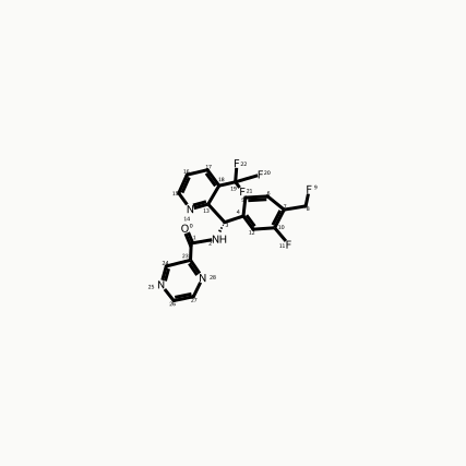 O=C(N[C@@H](c1ccc(CF)c(F)c1)c1ncccc1C(F)(F)F)c1cnccn1